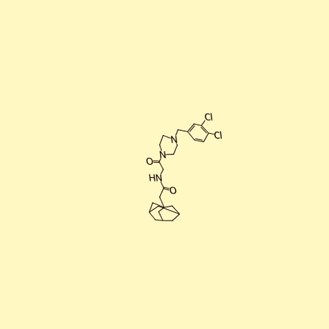 O=C(CC12CC3CC(CC(C3)C1)C2)NCC(=O)N1CCN(Cc2ccc(Cl)c(Cl)c2)CC1